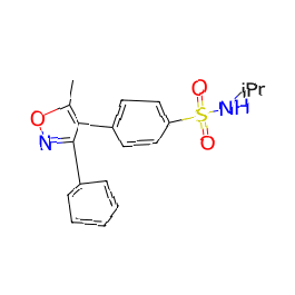 Cc1onc(-c2ccccc2)c1-c1ccc(S(=O)(=O)NC(C)C)cc1